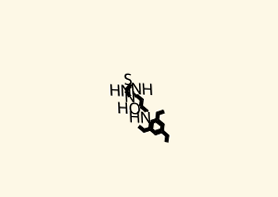 CCc1cc(CC)c(NCC(O)Cc2n[nH]c(=S)[nH]2)c(CC)c1